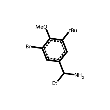 CCC(N)c1cc(Br)c(OC)c(C(C)(C)C)c1